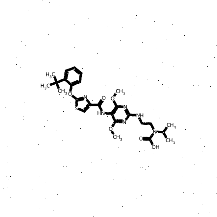 COc1nc(NCCN(C(=O)O)C(C)C)nc(OC)c1NC(=O)c1csc(Oc2ccccc2C(C)(C)C)n1